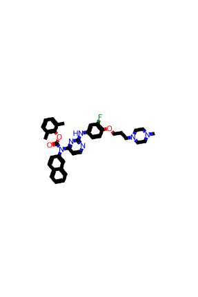 Cc1cccc(C)c1OC(=O)N(c1ccc2ccccc2c1)c1ccnc(Nc2ccc(OCCCN3CCN(C)CC3)c(F)c2)n1